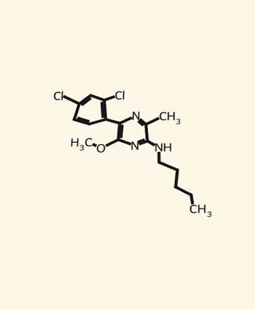 CCCCCNc1nc(OC)c(-c2ccc(Cl)cc2Cl)nc1C